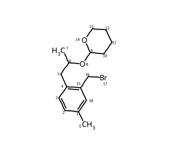 Cc1ccc(CC(C)OC2CCCCO2)c(CBr)c1